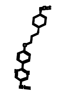 CCCCCCCC[C@H]1CC[C@H](CCCOc2ccc(-c3ncc(CCCCCC)cn3)cc2)CC1